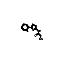 Cc1ccccc1-c1csc(NC(=O)CC#N)n1